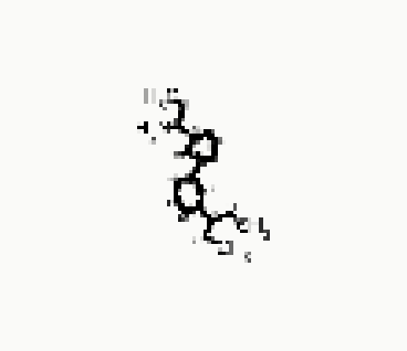 CCC(N)c1cccc(-c2cccc(C(CC)CC)c2)c1